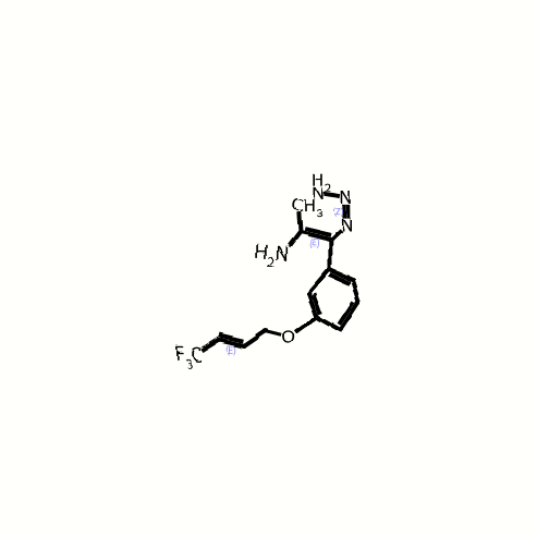 C/C(N)=C(\N=N/N)c1cccc(OC/C=C/C(F)(F)F)c1